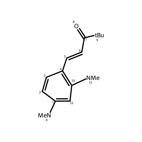 CNc1ccc(C=CC(=O)C(C)(C)C)c(NC)c1